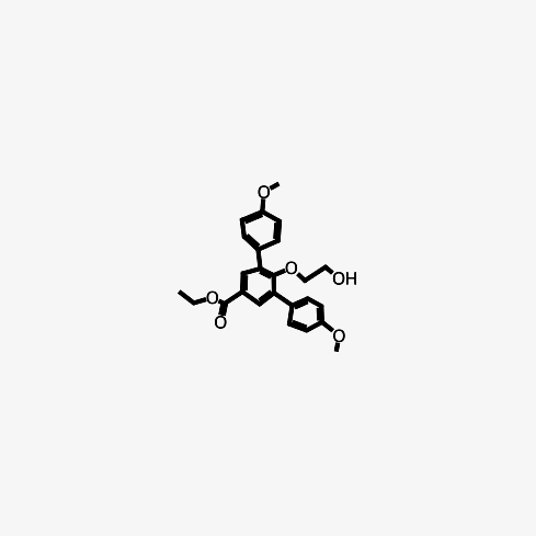 CCOC(=O)c1cc(-c2ccc(OC)cc2)c(OCCO)c(-c2ccc(OC)cc2)c1